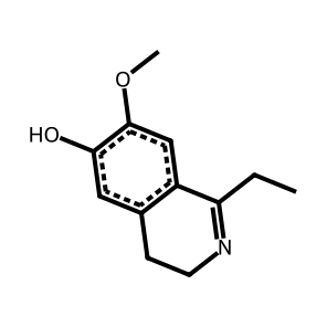 CCC1=NCCc2cc(O)c(OC)cc21